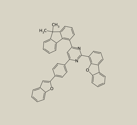 CC1(C)c2ccccc2-c2c(-c3cc(-c4ccc(-c5cc6ccccc6o5)cc4)nc(-c4cccc5c4oc4ccccc45)n3)cccc21